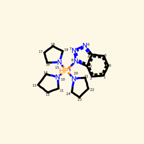 c1ccc2c(c1)nnn2[PH](N1CCCC1)(N1CCCC1)N1CCCC1